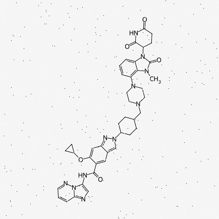 Cn1c(=O)n(C2CCC(=O)NC2=O)c2cccc(N3CCN(CC4CCC(n5cc6cc(C(=O)Nc7cnc8cccnn78)c(OC7CC7)cc6n5)CC4)CC3)c21